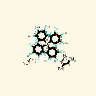 C=C[CH2][Pd+].CC#N.CC#N.Fc1c(F)c(F)c([B-](c2c(F)c(F)c(F)c(F)c2F)(c2c(F)c(F)c(F)c(F)c2F)c2c(F)c(F)c(F)c(F)c2F)c(F)c1F